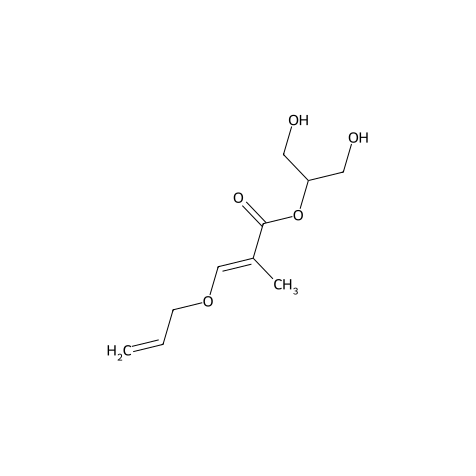 C=CCO/C=C(\C)C(=O)OC(CO)CO